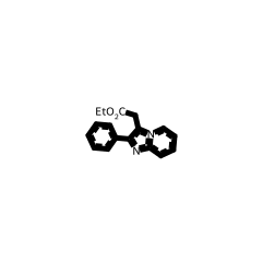 CCOC(=O)Cc1c(-c2ccccc2)nc2ccccn12